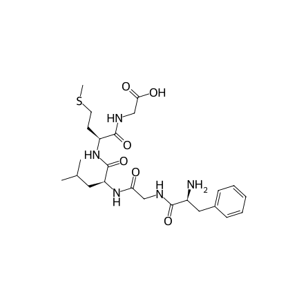 CSCC[C@H](NC(=O)[C@H](CC(C)C)NC(=O)CNC(=O)[C@@H](N)Cc1ccccc1)C(=O)NCC(=O)O